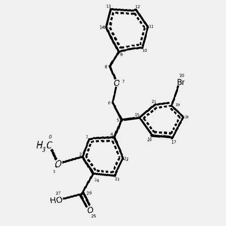 COc1cc(C(COCc2ccccc2)c2cccc(Br)c2)ccc1C(=O)O